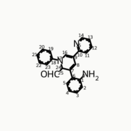 Nc1ccccc1C1=CC(c2ccccn2)=CN(c2ccccc2)C1C=O